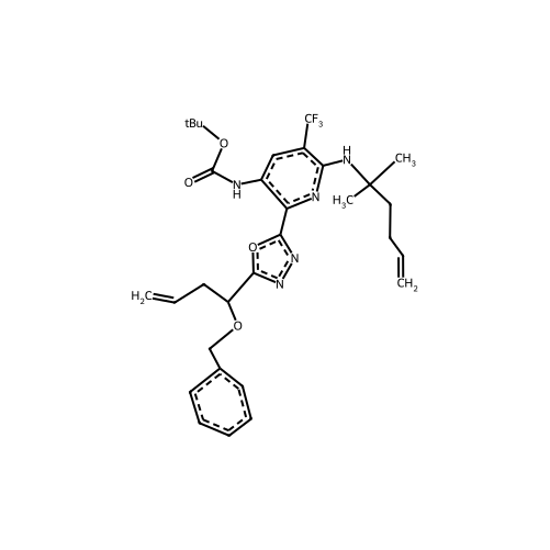 C=CCCC(C)(C)Nc1nc(-c2nnc(C(CC=C)OCc3ccccc3)o2)c(NC(=O)OC(C)(C)C)cc1C(F)(F)F